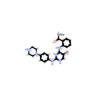 CNC(=O)c1ccccc1Nc1nc(Nc2ccc(N3CCNCC3)cc2)ncc1Br